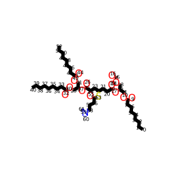 CCCCCCCCC(=O)OCC(COC=O)OC(=O)CCC(CCC(=O)OC(COC(=O)CCCCCCCC)COC(=O)CCCCCCCC)SC(=O)CCCN(C)C